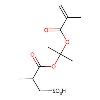 C=C(C)C(=O)OC(C)(C)OC(=O)C(C)CS(=O)(=O)O